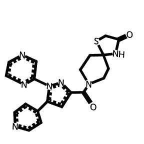 O=C1CSC2(CCN(C(=O)c3cc(-c4ccncc4)n(-c4cnccn4)n3)CC2)N1